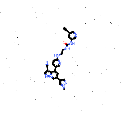 C#Cc1cncc(NC(=O)NCCNc2ccc(-c3cc(-c4cnn(C)c4)cn4ncc(C#N)c34)cn2)c1